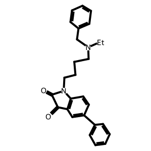 CCN(CCCCN1C(=O)C(=O)c2cc(-c3ccccc3)ccc21)Cc1ccccc1